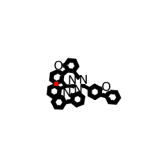 c1ccc(C2(n3c4ccccc4c4ccccc43)c3nc(-c4ccc5c(c4)oc4ccccc45)nc(n3)-c3cccc4oc5cccc2c5c34)cc1